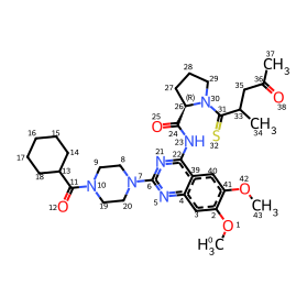 COc1cc2nc(N3CCN(C(=O)C4CCCCC4)CC3)nc(NC(=O)[C@H]3CCCN3C(=S)C(C)CC(C)=O)c2cc1OC